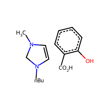 CCCCN1C=CN(C)C1.O=C(O)c1ccccc1O